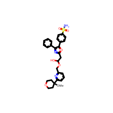 COC1(c2cccc(COC(O)Cc3nc(-c4ccccc4)c(-c4ccc(S(N)(=O)=O)cc4)o3)n2)CCOCC1